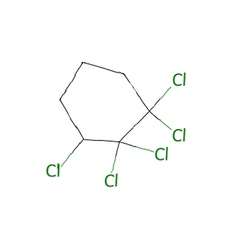 ClC1CCCC(Cl)(Cl)C1(Cl)Cl